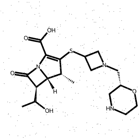 CC(O)[C@H]1C(=O)N2C(C(=O)O)=C(SC3CN(C[C@H]4CNCCO4)C3)[C@H](C)[C@H]12